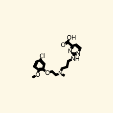 COc1ccc(Cl)cc1OCCN(C)CCCNc1nccc(C(=O)O)n1